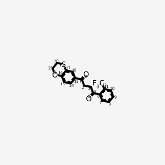 O=C(CCC(=O)c1ccccc1C(F)(F)F)c1ccc2c(c1)SCCO2